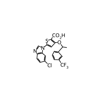 CC(Oc1cc(-n2cnc3ccc(Cl)cc32)sc1C(=O)O)c1cccc(C(F)(F)F)c1